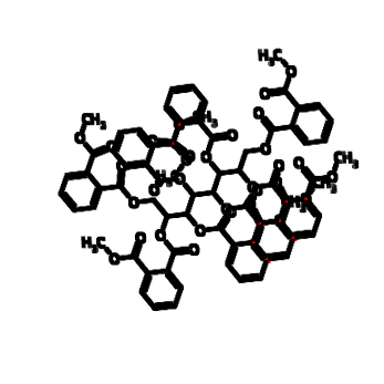 COC(=O)c1ccccc1C(=O)OCC(OC(=O)c1ccccc1C(=O)OC)C(OC(=O)c1ccccc1C(=O)OC)C(OC(=O)c1ccccc1C(=O)OC)C(OC(=O)c1ccccc1C(=O)OC)C(OC(=O)c1ccccc1C(=O)OC)C(COC(=O)c1ccccc1C(=O)OC)OC(=O)c1ccccc1C(=O)OC